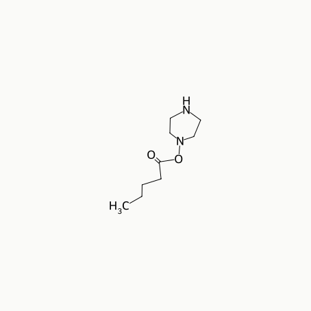 CCCCC(=O)ON1CCNCC1